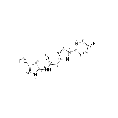 O=C(Cc1ccn(-c2ccc(F)cn2)n1)Nc1ncc(C(F)(F)F)s1